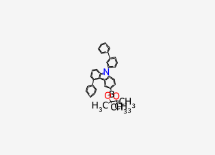 CC1(C)OB(c2ccc3c(c2)c2c(-c4ccccc4)cccc2n3-c2cccc(-c3ccccc3)c2)OC1(C)C